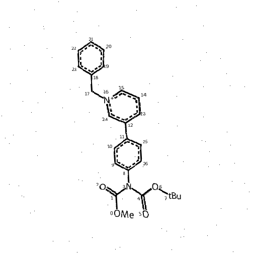 COC(=O)N(C(=O)OC(C)(C)C)c1ccc(-c2ccc[n+](Cc3ccccc3)c2)cc1